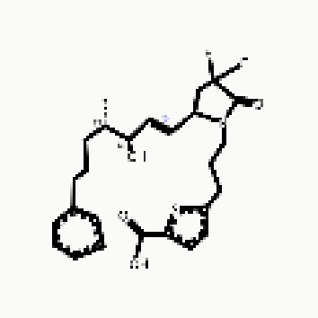 C[C@@H](CCCc1ccccc1)[C@H](O)/C=C/C1CC(F)(F)C(=O)N1CCCc1ccc(C(=O)O)s1